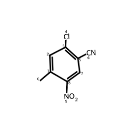 Cc1cc(Cl)c(C#N)cc1[N+](=O)[O-]